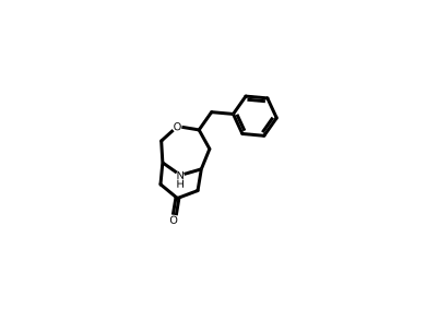 O=C1CC2COC(Cc3ccccc3)CC(C1)N2